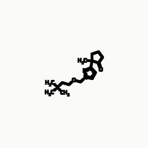 CC1(c2ccn(COCC[Si](C)(C)C)n2)CCCC1=O